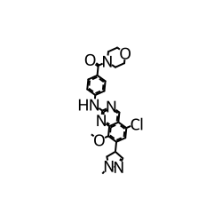 COc1c(C2C=NN(C)C2)cc(Cl)c2cnc(Nc3ccc(C(=O)N4CCOCC4)cc3)nc12